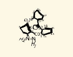 N.Nc1ccccc1C(=O)O.O=C(c1ccccc1)c1ccccc1[N+](=O)[O-]